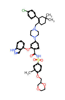 Cc1cc(S(=O)(=O)NC(=O)c2ccc(N3CCN(CC4=C(c5ccc(Cl)cc5)CC(C)(C)CC4)CC3)cc2Oc2cccc3[nH]ncc23)ccc1OCC1COCCO1